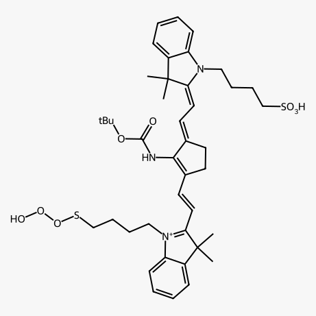 CC(C)(C)OC(=O)NC1=C(/C=C/C2=[N+](CCCCSOOO)c3ccccc3C2(C)C)CC/C1=C\C=C1\N(CCCCS(=O)(=O)O)c2ccccc2C1(C)C